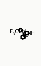 FC(F)(F)c1cccc(N2c3ccccc3[C@@H]3CNCC[C@H]32)c1